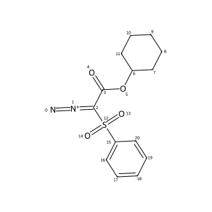 [N-]=[N+]=C(C(=O)OC1CCCCC1)S(=O)(=O)c1ccccc1